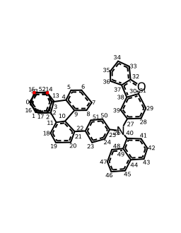 c1ccc(-c2ccccc2-c2c(-c3ccccc3)cccc2-c2ccc(N(c3ccc4oc5ccccc5c4c3)c3cccc4ccccc34)cc2)cc1